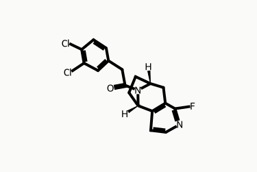 O=C(Cc1ccc(Cl)c(Cl)c1)N1[C@@H]2CC[C@H]1c1ccnc(F)c1C2